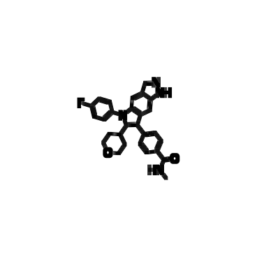 CNC(=O)c1ccc(-c2c(C3CCOCC3)n(-c3ccc(F)cc3)c3cc4cn[nH]c4cc23)cc1